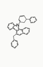 C1=CC(c2ccccc2)CC(n2c3ccccc3c3c(Cc4ccccc4)cc4ccccc4c32)=C1